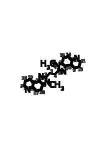 Cn1c(CCc2nc3c4cccnc4ccc3n2C)nc2c3cccnc3ccc21